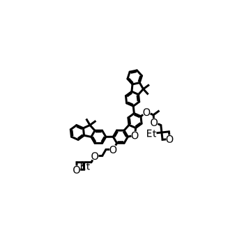 CCC1(COCCOc2cc3oc4cc(OC(C)OCC5(CC)COC5)c(-c5ccc6c(c5)C(C)(C)c5ccccc5-6)cc4c3cc2-c2ccc3c(c2)C(C)(C)c2ccccc2-3)COC1